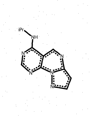 CC(C)Nc1ncnc2c1cnc1ccnn12